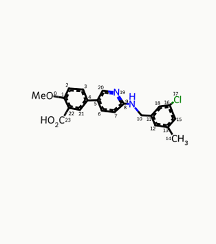 COc1ccc(-c2ccc(NCc3cc(C)cc(Cl)c3)nc2)cc1C(=O)O